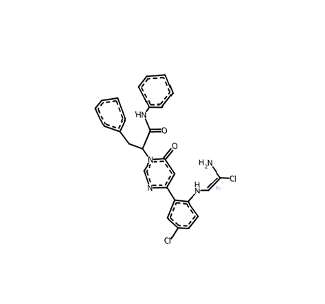 N/C(Cl)=C\Nc1ccc(Cl)cc1-c1cc(=O)n(C(Cc2ccccc2)C(=O)Nc2ccccc2)cn1